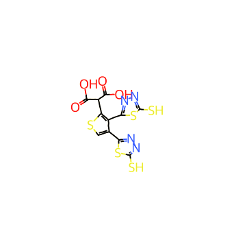 O=C(O)C(C(=O)O)c1scc(-c2nnc(S)s2)c1-c1nnc(S)s1